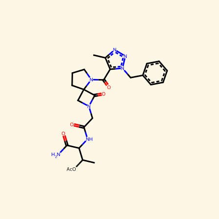 CC(=O)OC(C)C(NC(=O)CN1CC2(CCCN2C(=O)c2c(C)nnn2Cc2ccccc2)C1=O)C(N)=O